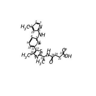 Cc1ccnc(Nc2cccc(-c3sc([C@H](C)NC(=O)CCC(=O)O)nc3C)n2)c1